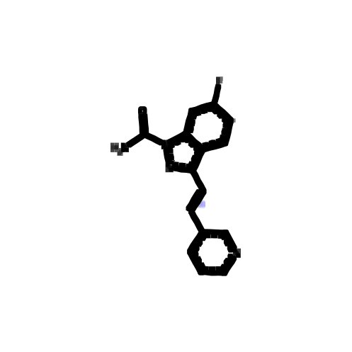 NC(=O)n1nc(/C=C/c2cccnc2)c2c[c]c(F)cc21